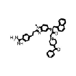 Cn1c(CCc2ccc(C(=N)N)cc2)nc2cc(N(Cc3cccc4ccccc34)C(=O)CN3CCC(C(=O)c4ccccc4)CC3)ccc21